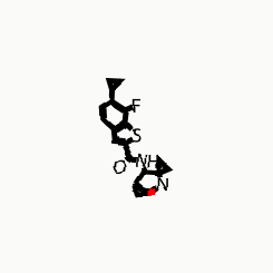 O=C(NC1C2CCN(CC2)C12CC2)c1cc2ccc(C3CC3)c(F)c2s1